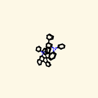 c1ccc(-c2cccc(N(c3ccccc3)c3cccc4c3-c3ccccc3C43c4ccccc4-c4c3c(N(c3ccccc3)c3ccccc3)cc3ccccc43)c2)cc1